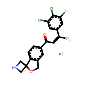 Cl.O=C(/C=C(\c1cc(Cl)c(Cl)c(Cl)c1)C(F)(F)F)c1ccc2c(c1)COC21CNC1